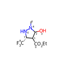 CCOC(=O)C1C(O)N(C)N[C@H]1C(F)(F)F